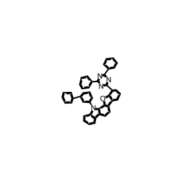 c1ccc(-c2cccc(-n3c4ccccc4c4ccc5c6cccc(-c7nc(-c8ccccc8)nc(-c8ccccc8)n7)c6oc5c43)c2)cc1